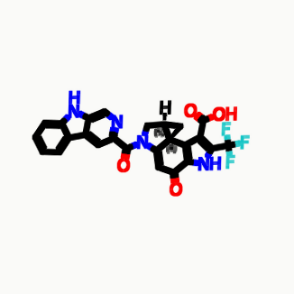 O=C1C=C2N(C(=O)c3cc4c(cn3)[nH]c3ccccc34)C[C@H]3C[C@@]23c2c1[nH]c(C(F)(F)F)c2C(=O)O